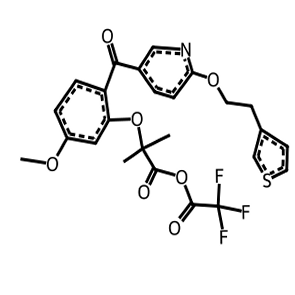 COc1ccc(C(=O)c2ccc(OCCc3ccsc3)nc2)c(OC(C)(C)C(=O)OC(=O)C(F)(F)F)c1